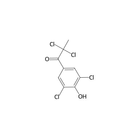 CC(Cl)(Cl)C(=O)c1cc(Cl)c(O)c(Cl)c1